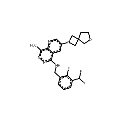 Cc1nnc(NCc2cccc(C(F)F)c2F)c2cc(N3CC4(CCOC4)C3)cnc12